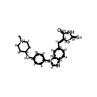 CN1CCC(Oc2ccc(-n3cnc4ccc(/C=C5\SC(=S)NC5=O)cc43)cc2)CC1